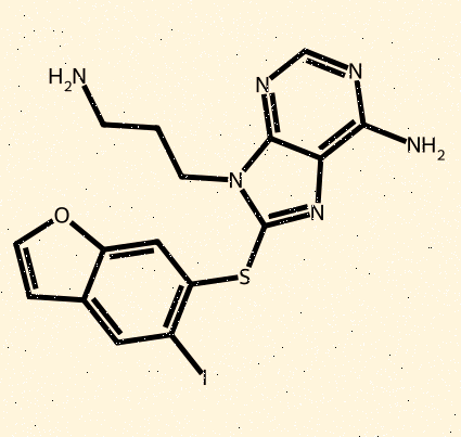 NCCCn1c(Sc2cc3occc3cc2I)nc2c(N)ncnc21